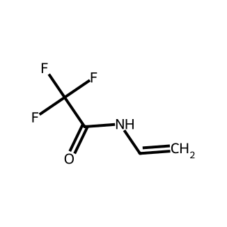 C=CNC(=O)C(F)(F)F